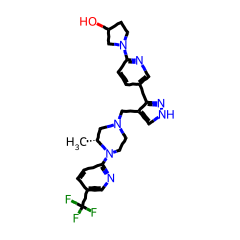 C[C@@H]1CN(Cc2c[nH]nc2-c2ccc(N3CCC(O)C3)nc2)CCN1c1ccc(C(F)(F)F)cn1